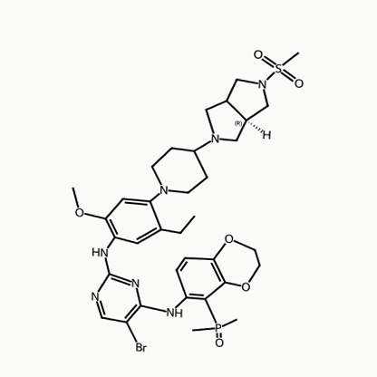 CCc1cc(Nc2ncc(Br)c(Nc3ccc4c(c3P(C)(C)=O)OCCO4)n2)c(OC)cc1N1CCC(N2CC3CN(S(C)(=O)=O)C[C@H]3C2)CC1